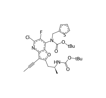 CC#Cc1c(C[C@H](C)NC(=O)OC(C)(C)C)oc2c(N(Cc3cccs3)C(=O)OC(C)(C)C)c(F)c(Cl)nc12